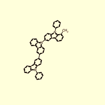 Cc1cccc2c3cc(-n4c5ccccc5c5cc(-c6ccc7c(c6)c6ccccc6n7-c6ccccc6)ccc54)ccc3n(-c3ccccc3)c12